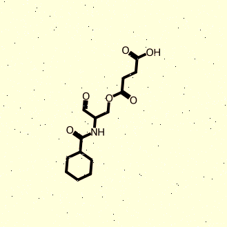 O=CC(COC(=O)CCC(=O)O)NC(=O)C1CCCCC1